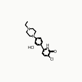 CCN1CCN(c2ccc(-c3ccc(Cl)c(=O)[nH]3)cc2)CC1.Cl